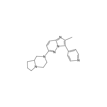 Cc1nc2ccc(N3CCN4CCCC4C3)nn2c1-c1ccncc1